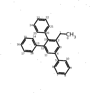 CCc1cc(-c2ccccc2)cc(-c2ccccc2)c1-c1ccccc1